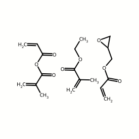 C=C(C)C(=O)OCC.C=CC(=O)OC(=O)C(=C)C.C=CC(=O)OCC1CO1